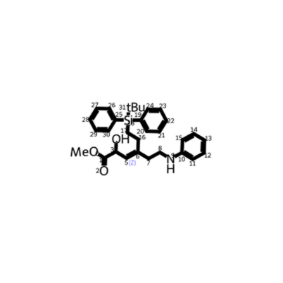 COC(=O)C(O)/C=C(/CCNc1ccccc1)CC[Si](c1ccccc1)(c1ccccc1)C(C)(C)C